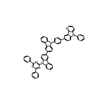 c1ccc(-c2nc(-c3ccccc3)nc(-n3c4ccccc4c4cc(-c5ccc6c(c5)c5ccccc5n6-c5ccc(-c6ccc7c(c6)c6ncccc6n7-c6ccccc6)cc5)ccc43)n2)cc1